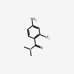 CN(C)C(=O)c1ccc([N+](=O)[O-])cc1C(F)(F)F